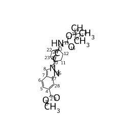 COC(=O)c1ccc2cn(C34CCC(NC(=O)OC(C)(C)C)(CC3)CC4)nc2c1